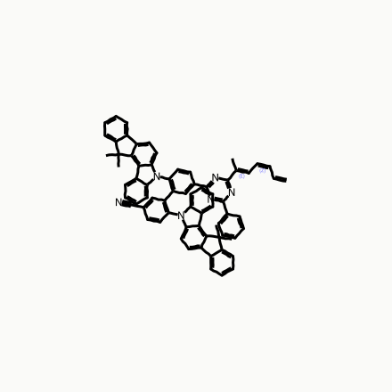 C=C/C=C\C=C(/C)c1nc(-c2ccccc2)nc(-c2ccc(-n3c4ccccc4c4c5c(ccc43)-c3ccccc3C5(C)C)c(-c3cc(C#N)ccc3-n3c4ccccc4c4c5c(ccc43)-c3ccccc3C5(C)C)c2)n1